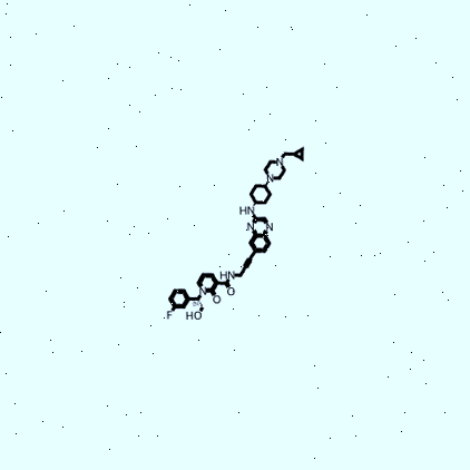 O=C(NCC#Cc1ccc2ncc(N[C@H]3CC[C@H](N4CCN(CC5CC5)CC4)CC3)nc2c1)c1cccn([C@H](CO)c2cccc(F)c2)c1=O